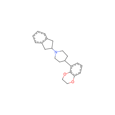 c1ccc2c(c1)CC(N1CCC(c3cccc4c3OCCO4)CC1)C2